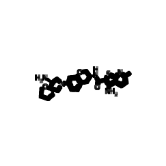 Cc1ccc2c(N)c(C(=O)N[C@H]3COc4cc(N5C[C@H](N)[C@@]6(CCCCO6)C5)ccc4C3)sc2n1